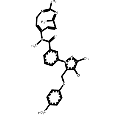 CC1=N\C\C=C(N(C)C(=O)c2cccc(-n3nc(C(F)(F)F)c(Cl)c3COc3ccc(C(=O)O)cc3)c2)/C=C/C(C)=N/1